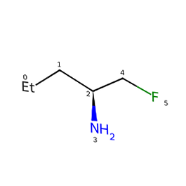 CCC[C@H](N)CF